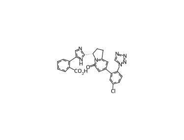 O=C(O)c1ccccc1-c1cnc([C@@H]2CCc3cc(-c4cc(Cl)ccc4-n4cnnn4)cc(=O)n32)[nH]1